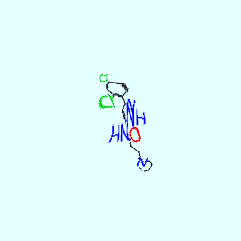 O=C(CCCN1CCCCC1)Nc1cc(-c2ccc(Cl)cc2Cl)n[nH]1